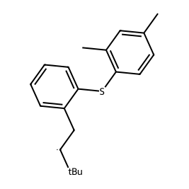 Cc1ccc(Sc2ccccc2C[CH]C(C)(C)C)c(C)c1